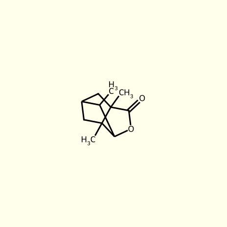 CC1C2CC3(C)C(=O)OC1C3(C)C2